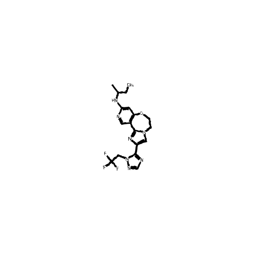 CC(CO)Nc1cc2c(cn1)-c1nc(-c3ncnn3CC(F)(F)F)cn1CCO2